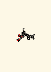 Fc1ccc(N(c2ccc3c(c2)c2ccccc2n3Cc2ccc(F)c(F)c2)c2ccc3c(c2)c2ccccc2n3Cc2ccc(F)c(F)c2)c(F)c1